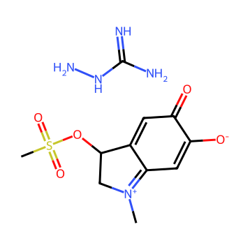 C[N+]1=C2C=C([O-])C(=O)C=C2C(OS(C)(=O)=O)C1.N=C(N)NN